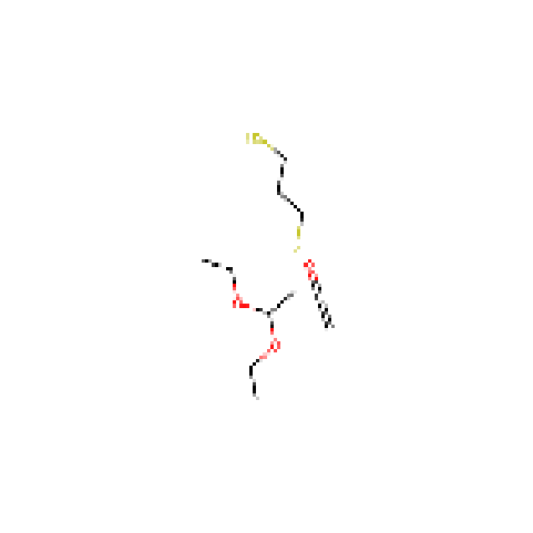 C=C=O.CCOC(C)OCC.SCCCS